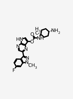 Cn1nc(-c2cnc3[nH]cc(OC(=O)N[C@]4(C)CC[C@@H](N)CC4)c3n2)c2ccc(F)cc21